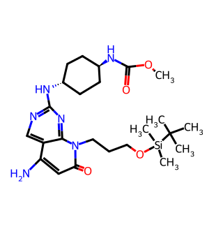 COC(=O)N[C@H]1CC[C@H](Nc2ncc3c(N)cc(=O)n(CCCO[Si](C)(C)C(C)(C)C)c3n2)CC1